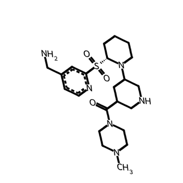 CN1CCN(C(=O)C2CNCC(N3CCCC[C@H]3S(=O)(=O)c3cc(CN)ccn3)C2)CC1